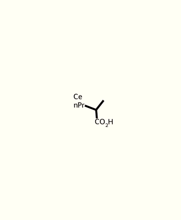 CCCC(C)C(=O)O.[Ce]